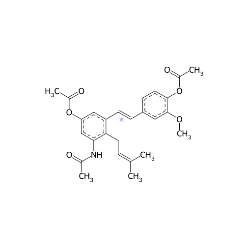 COc1cc(/C=C/c2cc(OC(C)=O)cc(NC(C)=O)c2CC=C(C)C)ccc1OC(C)=O